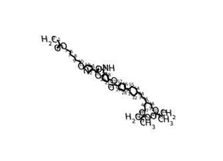 C=CC(=O)OCCCCCCOc1ccc(C(=O)Oc2ccc(OC(=O)c3ccc(C4CCC(CCCC(CCOC(=O)C(=C)C)CCOC(=O)C(=C)C)CC4)cc3)cc2C=N)cn1